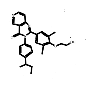 CCC(C)c1ccc(-n2c(-c3cc(C)c(OCCO)c(C)c3)nc3ccncc3c2=O)cc1